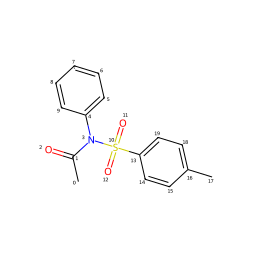 CC(=O)N(c1cc[c]cc1)S(=O)(=O)c1ccc(C)cc1